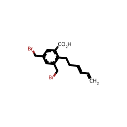 C=C/C=C/CCc1c(CBr)cc(CBr)cc1C(=O)O